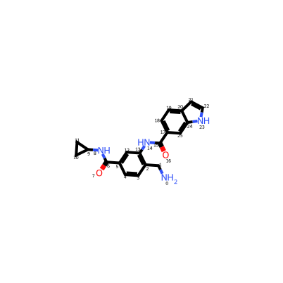 NCc1ccc(C(=O)NC2CC2)cc1NC(=O)c1ccc2cc[nH]c2c1